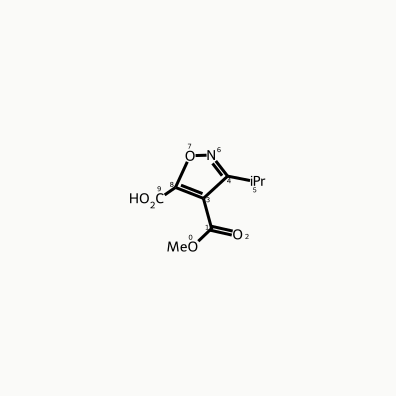 COC(=O)c1c(C(C)C)noc1C(=O)O